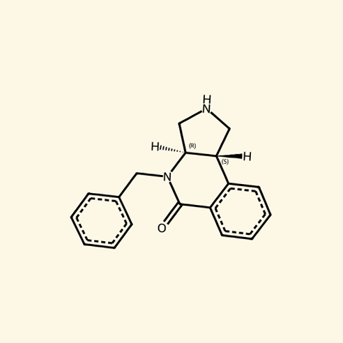 O=C1c2ccccc2[C@H]2CNC[C@@H]2N1Cc1ccccc1